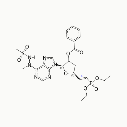 CCOP(=O)(/C=C/[C@@H]1CC(OC(=O)c2ccccc2)[C@H](n2cnc3c(N(C)NS(C)(=O)=O)ncnc32)O1)OCC